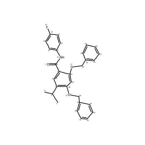 CC(C)c1cc(C(=O)Nc2ccc(F)cc2)c(OCc2ccccc2)cc1OCc1ccccc1